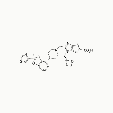 C[C@@]1(c2cscn2)Oc2cccc(C3CCN(Cc4nc5sc(C(=O)O)cc5n4C[C@@H]4CCO4)CC3)c2O1